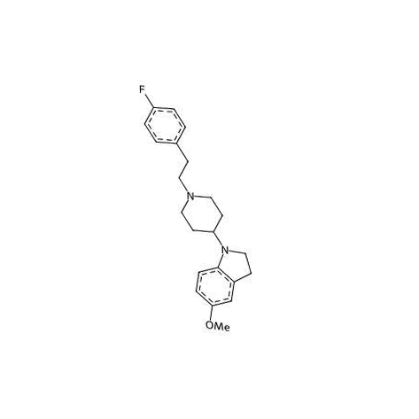 COc1ccc2c(c1)CCN2C1CCN(CCc2ccc(F)cc2)CC1